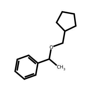 CC(OCC1CCCC1)c1ccccc1